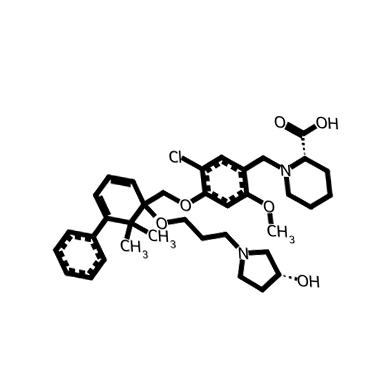 COc1cc(OCC2(OCCCN3CC[C@@H](O)C3)C=CC=C(c3ccccc3)C2(C)C)c(Cl)cc1CN1CCCC[C@H]1C(=O)O